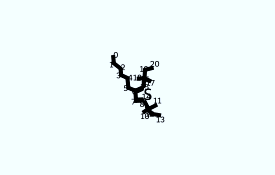 CCCCCCc1cc(C(C)(C)CC)sc1C(C)(C)CC